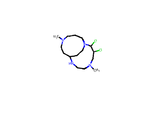 CN1CCCN2CCC(CC1)NCCN(C)CC(Cl)C2Cl